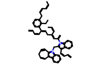 C=C/C=C\C(=C/CC(/C=C\C)=C/C(=C)n1c(Cn2c3c(c4ccccc42)C=CCC#C3)c(/C=C\C=C)c2ccccc21)c1cccc(C/C=C\C=C/C)c1CC